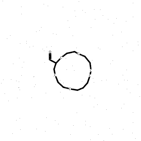 O=CC1CCCCCCCCCCCCCCCC1